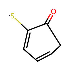 O=C1CC=CC=C1[S]